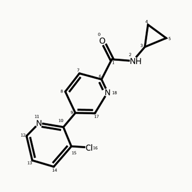 O=C(NC1CC1)c1ccc(-c2ncccc2Cl)cn1